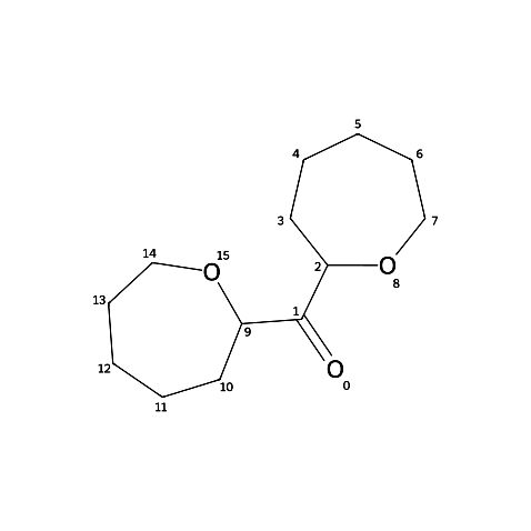 O=C(C1CCCCCO1)C1CCCCCO1